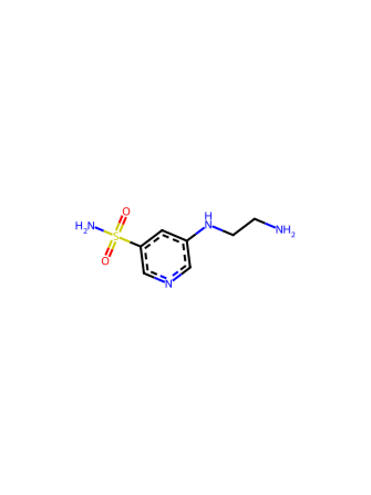 NCCNc1cncc(S(N)(=O)=O)c1